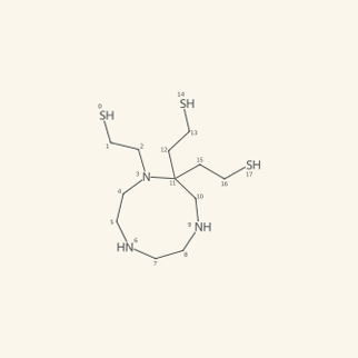 SCCN1CCNCCNCC1(CCS)CCS